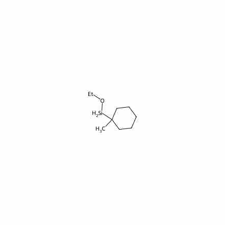 CCO[SiH2]C1(C)CCCCC1